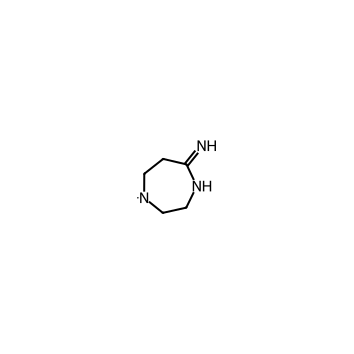 N=C1CC[N]CCN1